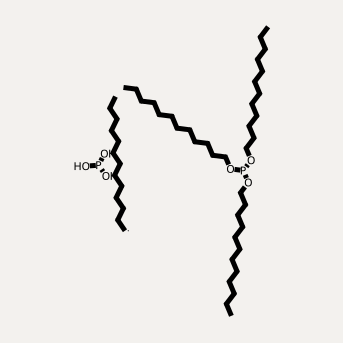 CCCCCCCCCCCCOP(OCCCCCCCCCCCC)OCCCCCCCCCCCC.OP(O)O.[CH2]CCCCCCCCCCCC